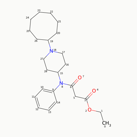 CCOC(=O)CC(=O)N(c1ccccc1)C1CCN(C2CCCCCCC2)CC1